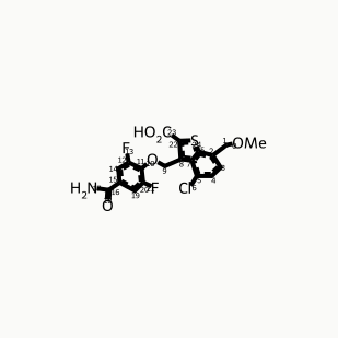 COCc1ccc(Cl)c2c(COc3c(F)cc(C(N)=O)cc3F)c(C(=O)O)sc12